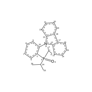 CC(C)P(=O)(c1ccccc1-n1c2ccccc2c2ccccc21)C(C)C